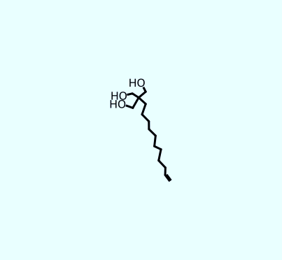 C=CCCCCCCCCCC(CO)(CO)CO